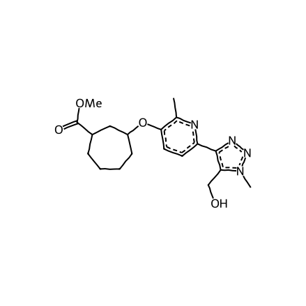 COC(=O)C1CCCCC(Oc2ccc(-c3nnn(C)c3CO)nc2C)C1